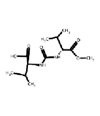 COC(=O)[C@H](NC(=O)N[C@H](C(=O)O)C(C)C)C(C)C